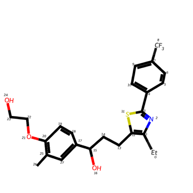 CCc1nc(-c2ccc(C(F)(F)F)cc2)sc1CCC(O)c1ccc(OCCO)c(C)c1